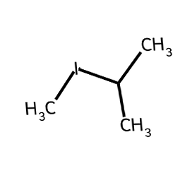 C[I]C(C)C